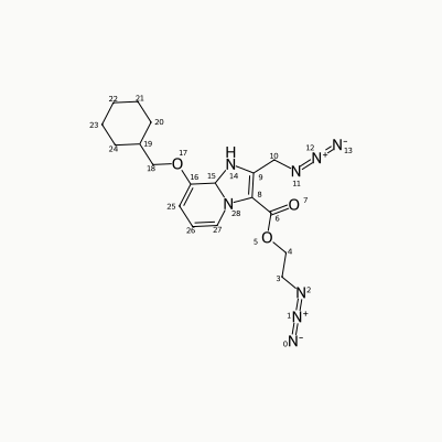 [N-]=[N+]=NCCOC(=O)C1=C(CN=[N+]=[N-])NC2C(OCC3CCCCC3)=CC=CN12